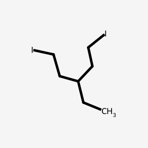 CCC(CCI)CCI